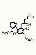 C=CCC(O)Cc1c(CC)c(OCOC)cc(OCOC)c1-c1ccccc1